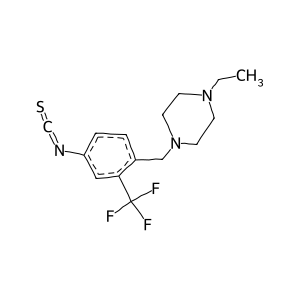 CCN1CCN(Cc2ccc(N=C=S)cc2C(F)(F)F)CC1